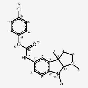 CN1CCC2(C)c3cc(NC(=O)Oc4ccc(Cl)cc4)ccc3N(C)C12